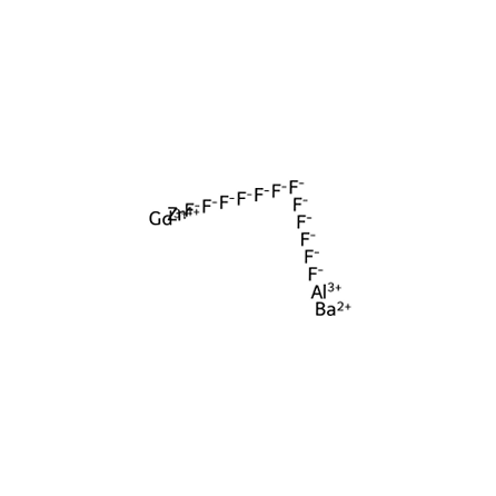 [Al+3].[Ba+2].[F-].[F-].[F-].[F-].[F-].[F-].[F-].[F-].[F-].[F-].[F-].[F-].[Gd+3].[Zr+4]